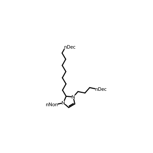 CCCCCCCCCCCCCCCCCC1N(CCCCCCCCC)C=CN1CCCCCCCCCCCCC